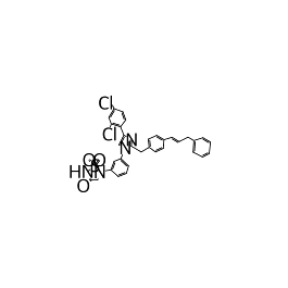 O=C1CN(c2cccc(-n3cc(-c4ccc(Cl)cc4Cl)nc3Cc3ccc(C=CCc4ccccc4)cc3)c2)S(=O)(=O)N1